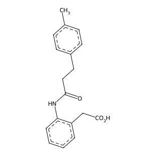 Cc1ccc(CCC(=O)Nc2ccccc2CC(=O)O)cc1